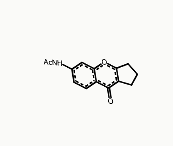 CC(=O)Nc1ccc2c(=O)c3c(oc2c1)CCC3